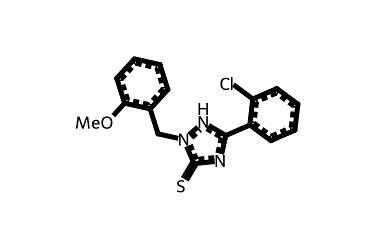 COc1ccccc1Cn1[nH]c(-c2ccccc2Cl)nc1=S